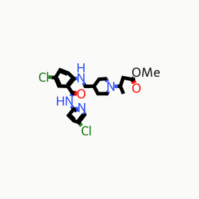 COC(=O)CC(C)N1CCC(CNc2ccc(Cl)cc2C(=O)Nc2ccc(Cl)cn2)CC1